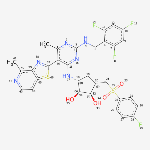 Cc1nc(NCc2c(F)cc(F)cc2F)nc(N[C@@H]2C[C@H](CS(=O)(=O)c3ccc(F)cc3)[C@@H](O)[C@H]2O)c1-c1nc2c(C)nccc2s1